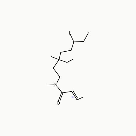 C/C=C/C(=O)N(C)CCC(C)(CC)CCC(I)CC